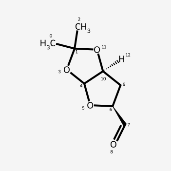 CC1(C)OC2O[C@H](C=O)C[C@@H]2O1